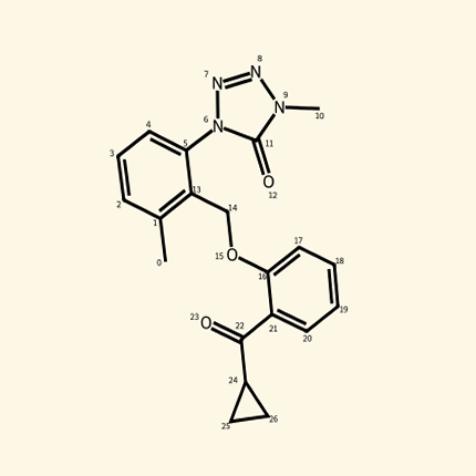 Cc1cccc(-n2nnn(C)c2=O)c1COc1ccccc1C(=O)C1CC1